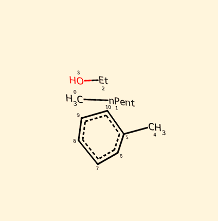 CCCCCC.CCO.Cc1ccccc1